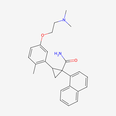 Cc1ccc(OCCN(C)C)cc1C1CC1(C(N)=O)c1cccc2ccccc12